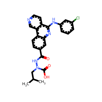 CC(C)CN(NC(=O)c1ccc2c(c1)nc(Nc1cccc(Cl)c1)c1ccncc12)C(=O)O